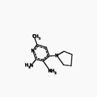 Cc1cc(N2CCCC2)c(N)c(N)n1